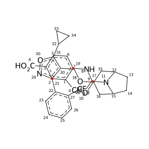 Cc1cc(C(=O)O)ccc1NC(=O)N1C2CCC1CC(OCc1c(-c3ccccc3C(F)(F)F)noc1C1CC1)C2